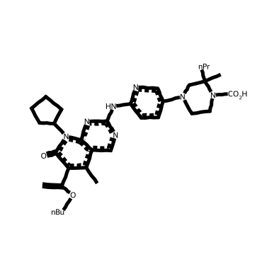 C=C(OCCCC)c1c(C)c2cnc(Nc3ccc(N4CCN(C(=O)O)C(C)(CCC)C4)cn3)nc2n(C2CCCC2)c1=O